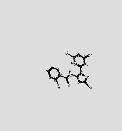 CCc1cc(=O)nc(-n2nc(C)cc2NC(=O)c2ccccc2F)[nH]1